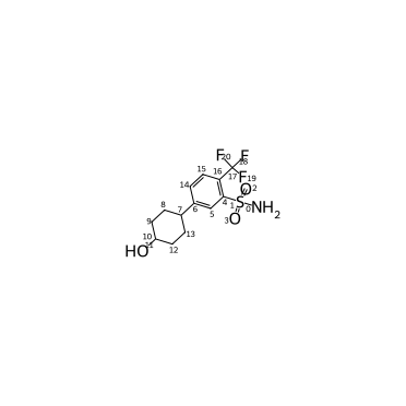 NS(=O)(=O)c1cc(C2CCC(O)CC2)ccc1C(F)(F)F